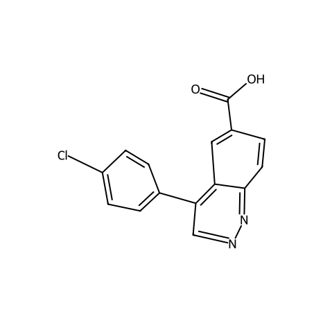 O=C(O)c1ccc2nncc(-c3ccc(Cl)cc3)c2c1